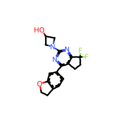 OC1CN(c2nc(-c3ccc4c(c3)OCC4)c3c(n2)C(F)(F)CC3)C1